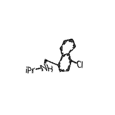 CC(C)NCc1ccc(Cl)c2ccccc12